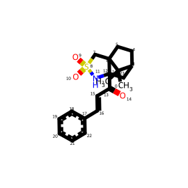 CC1(C)C2CCC13CS(=O)(=O)NC3(C(=O)C=Cc1ccccc1)C2